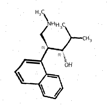 CNC[C@H](c1cccc2ccccc12)[C@@H](O)C(C)C